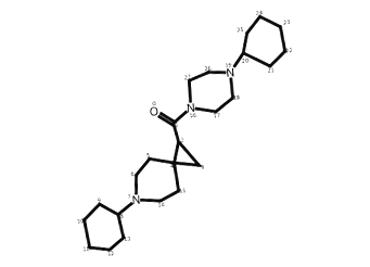 O=C(C1CC12CCN(C1CCCCC1)CC2)N1CCN(C2CCCCC2)CC1